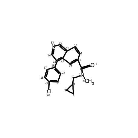 CN(CC1CC1)C(=O)c1ccc2cncc(-c3ccc(Cl)cc3)c2c1